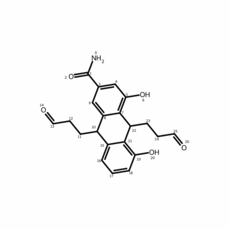 NC(=O)c1cc(O)c2c(c1)C(CCC=O)c1cccc(O)c1C2CCC=O